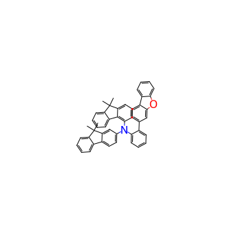 CC1(C)c2ccccc2-c2ccc(N(c3ccccc3-c3ccc4c(c3)oc3ccccc34)c3cccc4c3-c3ccccc3C4(C)C)cc21